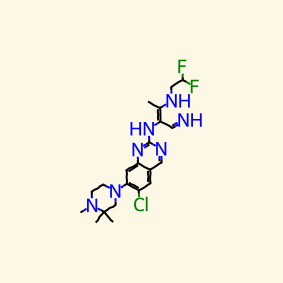 C/C(NCC(F)F)=C(/C=N)Nc1ncc2cc(Cl)c(N3CCN(C)C(C)(C)C3)cc2n1